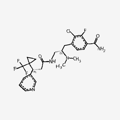 CN(C)[C@H](CNC(=O)C[C@H](c1cccnc1)C1(C(F)(F)F)CC1)Cc1ccc(C(N)=O)c(F)c1Cl